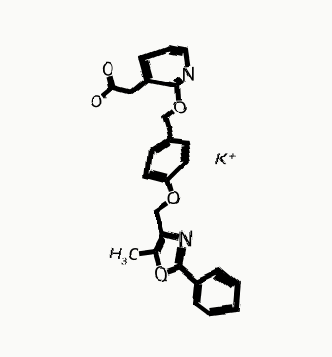 Cc1oc(-c2ccccc2)nc1COc1ccc(COc2ncccc2CC(=O)[O-])cc1.[K+]